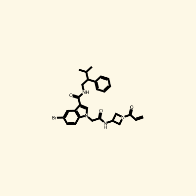 C=CC(=O)N1CC(NC(=O)Cn2cc(C(=O)NCC(c3ccccc3)C(C)C)c3cc(Br)ccc32)C1